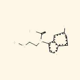 O=C(O)N(CCNO)c1c[nH]c2ccc(Cl)cc12